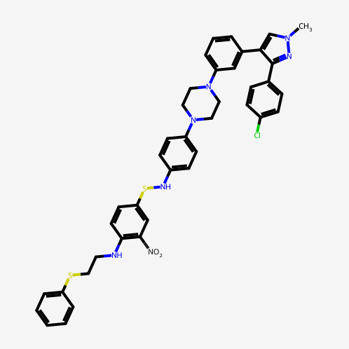 Cn1cc(-c2cccc(N3CCN(c4ccc(NSc5ccc(NCCSc6ccccc6)c([N+](=O)[O-])c5)cc4)CC3)c2)c(-c2ccc(Cl)cc2)n1